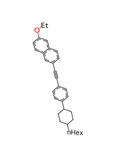 CCCCCCC1CCC(c2ccc(C#Cc3ccc4cc(OCC)ccc4c3)cc2)CC1